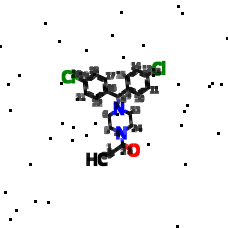 C#CC(=O)N1CCN(C(c2ccc(Cl)cc2)c2ccc(Cl)cc2)CC1